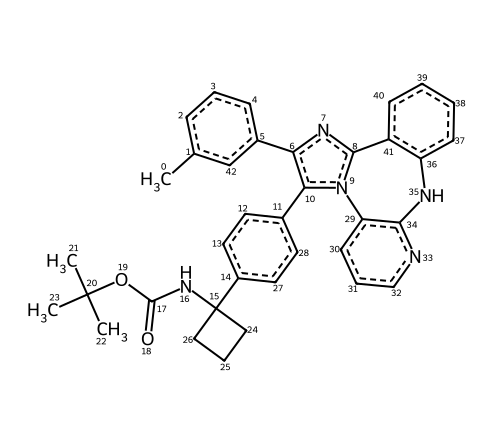 Cc1cccc(-c2nc3n(c2-c2ccc(C4(NC(=O)OC(C)(C)C)CCC4)cc2)-c2cccnc2Nc2ccccc2-3)c1